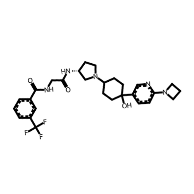 O=C(CNC(=O)c1cccc(C(F)(F)F)c1)N[C@@H]1CCN(C2CCC(O)(c3ccc(N4CCC4)nc3)CC2)C1